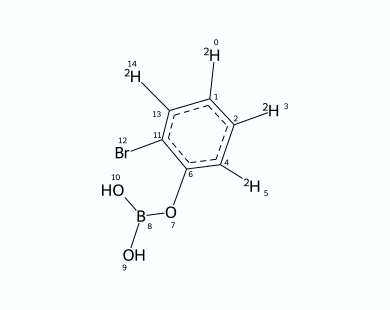 [2H]c1c([2H])c([2H])c(OB(O)O)c(Br)c1[2H]